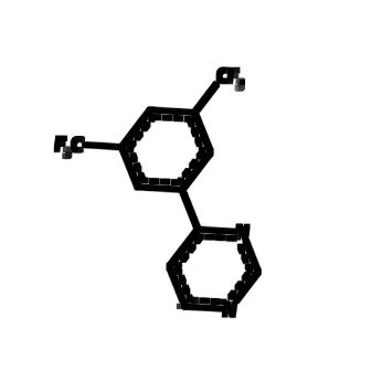 FC(F)(F)c1cc(-c2c[c]ncn2)cc(C(F)(F)F)c1